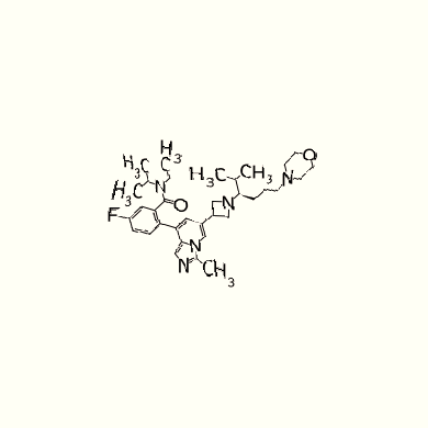 CCN(C(=O)c1cc(F)ccc1-c1cc(C2CN([C@H](CCCN3CCOCC3)C(C)C)C2)cn2c(C)ncc12)C(C)C